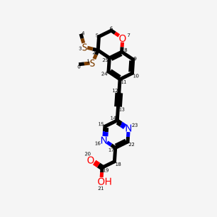 CSC1(SC)CCOc2ccc(C#Cc3cnc(CC(=O)O)cn3)cc21